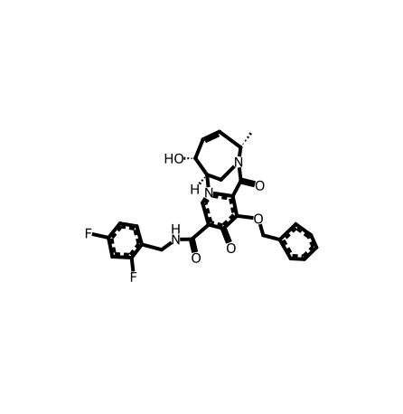 C[C@H]1C=C[C@@H](O)[C@H]2CN1C(=O)c1c(OCc3ccccc3)c(=O)c(C(=O)NCc3ccc(F)cc3F)cn12